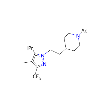 CC(=O)N1CCC(CCn2nc(C(F)(F)F)c(C)c2C(C)C)CC1